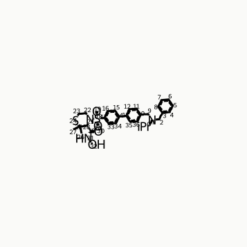 CC(C)N(Cc1ccccc1)Cc1ccc(-c2ccc(S(=O)(=O)N3CCSC(C)(C)[C@@H]3C(=O)NO)cc2)cc1